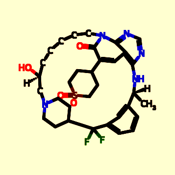 C[C@H]1Nc2ncnc3c2cc(C2CCS(=O)(=O)CC2)c(=O)n3CCCCC[C@H](O)CN2CCC(CC2)C(F)(F)c2cccc1c2